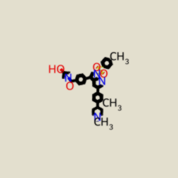 Cc1ccc(S(=O)(=O)n2cc(-c3ccc(C(=O)N4CC(O)C4)cc3)c3cc(-c4ccc(C5CCN(C)CC5)c(C)c4)cnc32)cc1